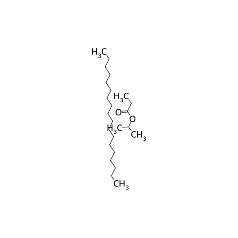 CCC(=O)OC(C)C.CCCCCCCCCCCCCCCCCC